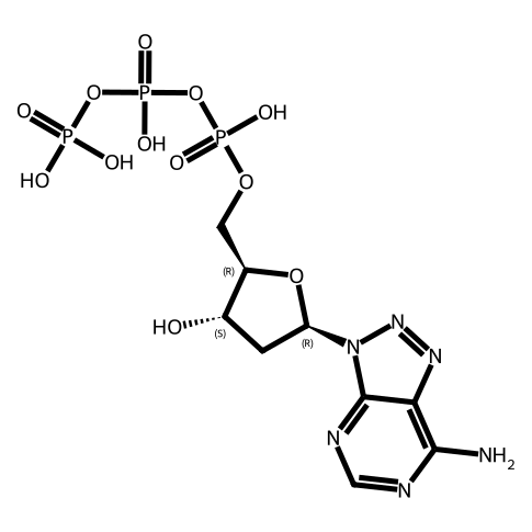 Nc1ncnc2c1nnn2[C@H]1C[C@H](O)[C@@H](COP(=O)(O)OP(=O)(O)OP(=O)(O)O)O1